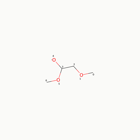 COCC([O])OC